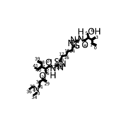 C=CC(=C)C(CO)C(=O)Nc1nnc(CCCCc2nnc(NC(=O)C(COC(=C)CCN(CC)CC)/C(C=C)=C/C)s2)s1